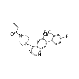 C=CC(=O)N1CCN(c2ncnc3cc(-c4ccc(F)cc4C(F)(F)F)c(Cl)cc23)CC1